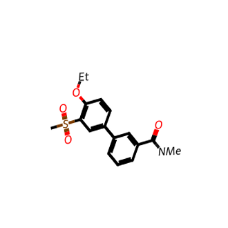 CCOc1ccc(-c2cccc(C(=O)NC)c2)cc1S(C)(=O)=O